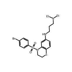 CCN(CC)CCCNc1ccc2c(c1)N(S(=O)(=O)c1ccc(Br)cc1)CCS2